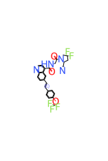 N#CC1CC(F)(F)CN1C(=O)CNC(=O)c1ccnc2ccc(/C=C/c3ccc(OC(F)(F)F)cc3)cc12